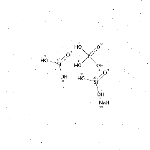 O=P(O)(O)O.O=[Si](O)O.O=[Si](O)O.[NaH]